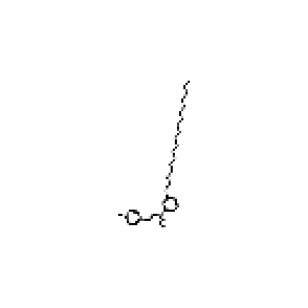 CCCCCCCCCCCCCCCCCCc1cccc(C(=O)C=Cc2ccc(C)cc2)c1